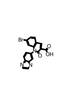 O=C(O)c1cc2ccc(Br)cc2n(-c2ccc3nccnc3c2)c1=O